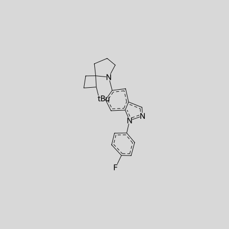 CC(C)(C)C1CCC12CCCN2c1ccc2c(cnn2-c2ccc(F)cc2)c1